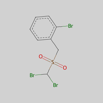 O=S(=O)(Cc1ccccc1Br)C(Br)Br